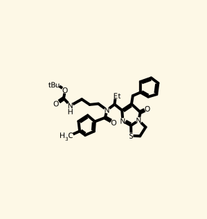 CCC(c1nc2n(c(=O)c1Cc1ccccc1)CCS2)N(CCCNC(=O)OC(C)(C)C)C(=O)c1ccc(C)cc1